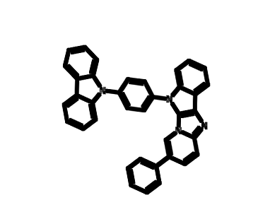 c1ccc(-c2ccc3nc4c5ccccc5n(-c5ccc(-n6c7ccccc7c7ccccc76)cc5)c4n3c2)cc1